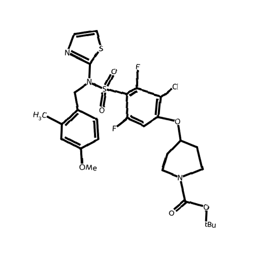 COc1ccc(CN(c2nccs2)S(=O)(=O)c2c(F)cc(OC3CCN(C(=O)OC(C)(C)C)CC3)c(Cl)c2F)c(C)c1